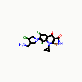 NCC1CN(c2c(F)cc3c(=O)c4c(=O)[nH]sc4n(C4CC4)c3c2F)CC1Cl